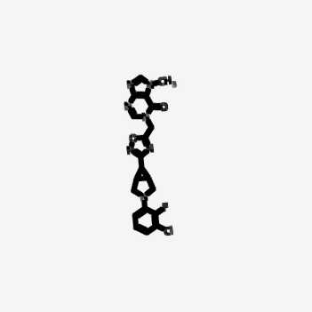 Cn1cnc2ncn(Cc3nc(C4C5CN(c6cccc(Cl)c6F)CC54)no3)c(=O)c21